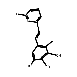 CC(C)c1c(O)cc(/C=C/c2cccc(F)n2)c(F)c1O